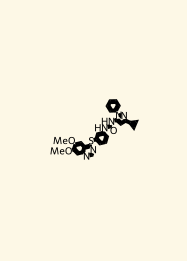 COc1cc2ncnc(Sc3cccc(NC(=O)Nc4cc(C5CC5)nn4-c4ccccc4)c3)c2cc1OC